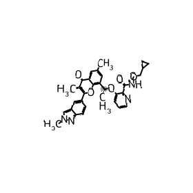 Cc1cc([C@@H](C)Oc2cccnc2C(=O)NOCC2CC2)c2oc(-c3ccc4nn(C)cc4c3)c(C)c(=O)c2c1